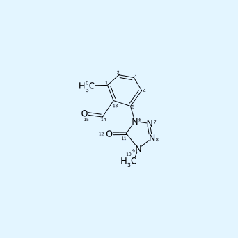 Cc1cccc(-n2nnn(C)c2=O)c1C=O